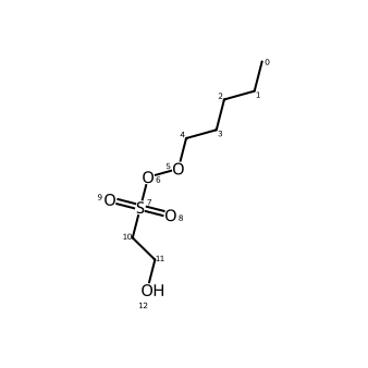 CCCCCOOS(=O)(=O)CCO